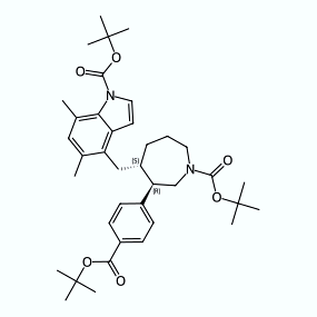 Cc1cc(C)c2c(ccn2C(=O)OC(C)(C)C)c1C[C@@H]1CCCN(C(=O)OC(C)(C)C)C[C@H]1c1ccc(C(=O)OC(C)(C)C)cc1